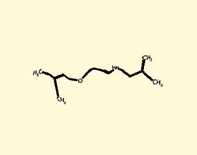 CC(C)CNCCOCC(C)C